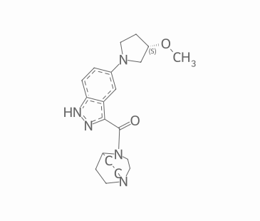 CO[C@H]1CCN(c2ccc3[nH]nc(C(=O)N4CCN5CCC4CC5)c3c2)C1